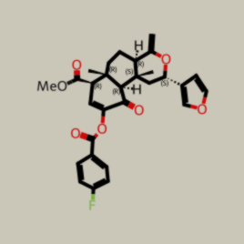 C=C1O[C@H](c2ccoc2)C[C@]2(C)[C@H]3C(=O)C(OC(=O)c4ccc(F)cc4)=C[C@@H](C(=O)OC)[C@]3(C)CC[C@@H]12